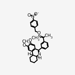 COc1cc2c(cc1OC)[C@H]1CCCC[C@H]1N=C2c1cccc(C(C)=NOCc2ccc([N+](=O)[O-])cc2)c1